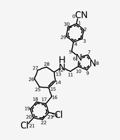 N#Cc1ccc(Cn2cncc2CNC2C=C(Cc3ccc(Cl)cc3Cl)CCCC2)cc1